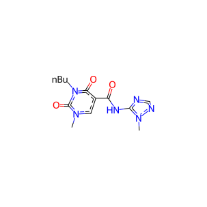 CCCCn1c(=O)c(C(=O)Nc2ncnn2C)cn(C)c1=O